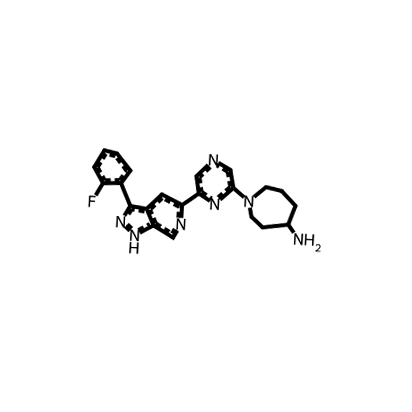 NC1CCCN(c2cncc(-c3cc4c(-c5ccccc5F)n[nH]c4cn3)n2)CC1